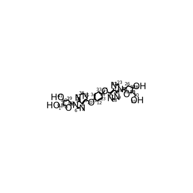 OC[C@H]1O[C@@H](n2cnc3c(Oc4ccc(Oc5ncnc6c5ncn6[C@H]5CC(O)[C@@H](CO)O5)cc4)ncnc32)CC1O